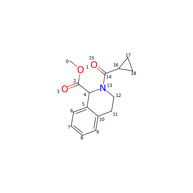 COC(=O)C1c2ccccc2CCN1C(=O)C1CC1